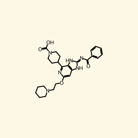 O=C(N=c1[nH]c2cc(OCCN3CCCCC3)nc(C3CCN(C(=O)O)CC3)c2[nH]1)c1ccccc1